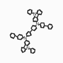 C1=CC(c2ccc(N(c3ccc(-c4ccccc4)cc3)c3ccc4c(c3)c3ccccc3n4-c3ccccc3)cc2)CC=C1N(C1=CC=C(c2ccccc2)CC1)c1ccc2c(c1)c1ccccc1n2-c1ccccc1